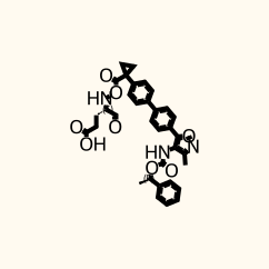 Cc1noc(-c2ccc(-c3ccc(C4(C(=O)ON[C@H](C=O)CCC(=O)O)CC4)cc3)cc2)c1NC(=O)O[C@H](C)c1ccccc1